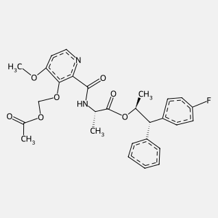 COc1ccnc(C(=O)N[C@@H](C)C(=O)O[C@@H](C)[C@@H](c2ccccc2)c2ccc(F)cc2)c1OCOC(C)=O